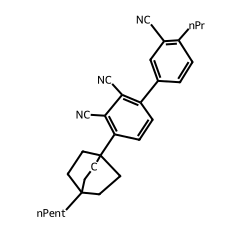 CCCCCC12CCC(c3ccc(-c4ccc(CCC)c(C#N)c4)c(C#N)c3C#N)(CC1)CC2